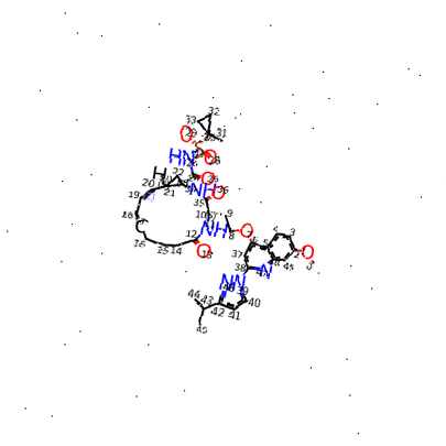 COc1ccc2c(OCC[C@@H]3NC(=O)CCCCC/C=C\[C@@H]4C[C@@]4(C(=O)NS(=O)(=O)C4(C)CC4)NC3=O)cc(-n3ccc(C(C)C)n3)nc2c1